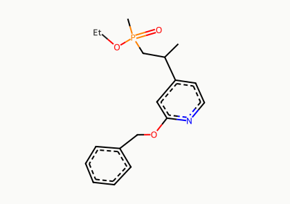 CCOP(C)(=O)CC(C)c1ccnc(OCc2ccccc2)c1